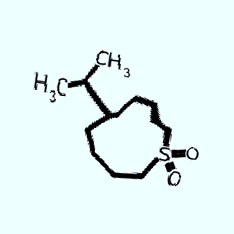 CC(C)C1CCCCS(=O)(=O)CCC1